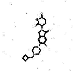 O=C1CCC(N2Cc3cc(N4CCN(CC5CCC5)CC4)c(F)cc3C2=O)C(=O)N1